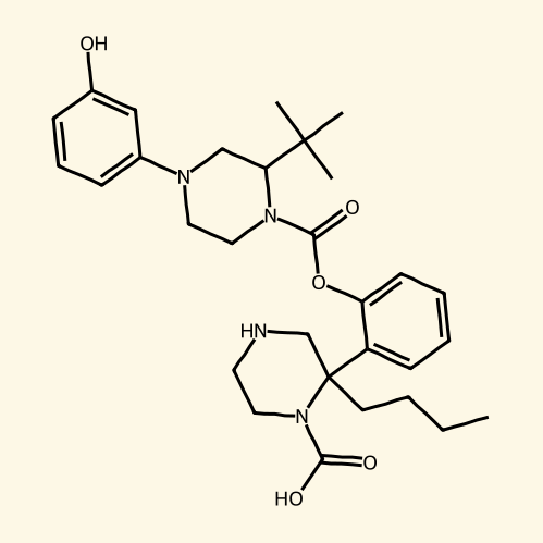 CCCCC1(c2ccccc2OC(=O)N2CCN(c3cccc(O)c3)CC2C(C)(C)C)CNCCN1C(=O)O